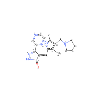 Cc1[nH]c(/C=C2/C(=O)NN=C2c2cnccn2)c(C(C)C)c1CN1CCCC1